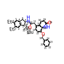 CCc1cc2c(cc1CC)CC(N[C@@H](Cc1ccc(OCc3ccccc3)c3[nH]c(=O)ccc13)O[Si](C)(C)C(C)(C)C)C2